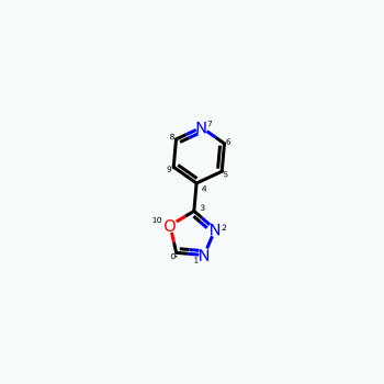 [c]1nnc(-c2ccncc2)o1